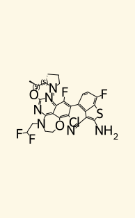 C[C@H](Oc1nc2c3c(c(Cl)c(-c4ccc(F)c5sc(N)c(C#N)c45)c(F)c3n1)OCCN2CC(F)F)[C@@H]1CCCN1C